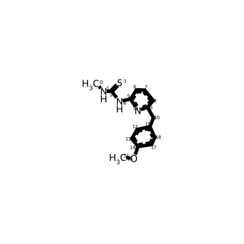 CNC(=S)Nc1cccc(Cc2ccc(OC)cc2)n1